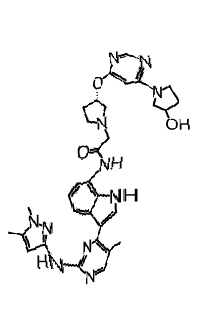 Cc1cnc(Nc2cc(C)n(C)n2)nc1-c1c[nH]c2c(NC(=O)CN3CC[C@H](Oc4cc(N5CCC(O)C5)ncn4)C3)cccc12